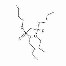 CCCCOP(=O)(CP(=O)(OCCC)OCCC)OCCCC